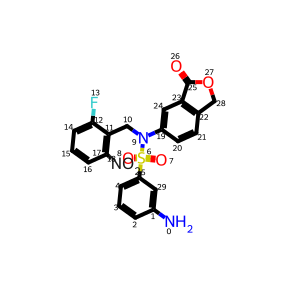 Nc1cccc(S(=O)(=O)N(Cc2c(F)cccc2[N+](=O)[O-])c2ccc3c(c2)C(=O)OC3)c1